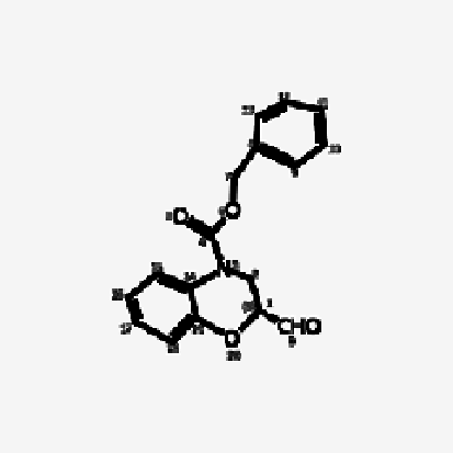 O=C[C@@H]1CN(C(=O)OCc2ccccc2)c2ccccc2O1